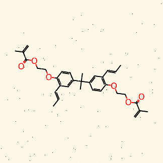 C=C(C)C(=O)OCCOc1ccc(C(C)(C)c2ccc(OCCOC(=O)C(=C)C)c(C=CC)c2)cc1C=CC